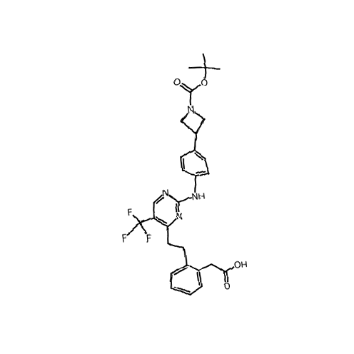 CC(C)(C)OC(=O)N1CC(c2ccc(Nc3ncc(C(F)(F)F)c(CCc4ccccc4CC(=O)O)n3)cc2)C1